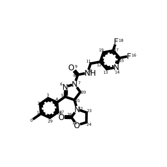 Cc1ccc(C2=NN(C(=O)NCc3cnc(F)c(F)c3)CC2N2CCOC2=O)cc1